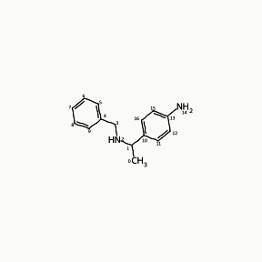 CC(NCc1ccccc1)c1ccc(N)cc1